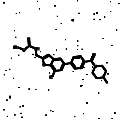 CN1CCN(C(=O)c2ccc(-c3cc(Cl)c4oc(CNC(=O)OC(C)(C)C)cc4c3)cc2)CC1